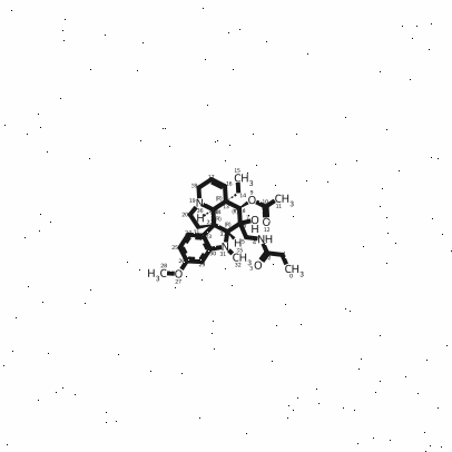 CCC(=O)NCC1(O)[C@H](OC(C)=O)[C@]2(CC)C=CCN3CC[C@@]4(c5ccc(OC)cc5N(C)[C@@H]14)[C@@H]32